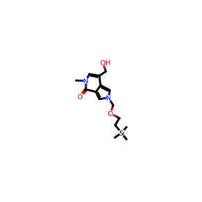 Cn1cc(CO)c2cn(COCC[Si](C)(C)C)cc2c1=O